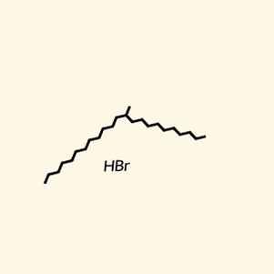 Br.CCCCCCCCCCCCC(C)CCCCCCCCCC